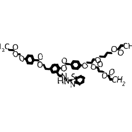 C=CC(=O)OCCCCOCC(COc1ccc(C(=O)Oc2ccc(CCOC(=O)c3ccc(OCOC(=O)C=C)cc3)cc2/C=N/Nc2nc3ccccc3s2)cc1)OC(=O)CCOC(=O)C=C